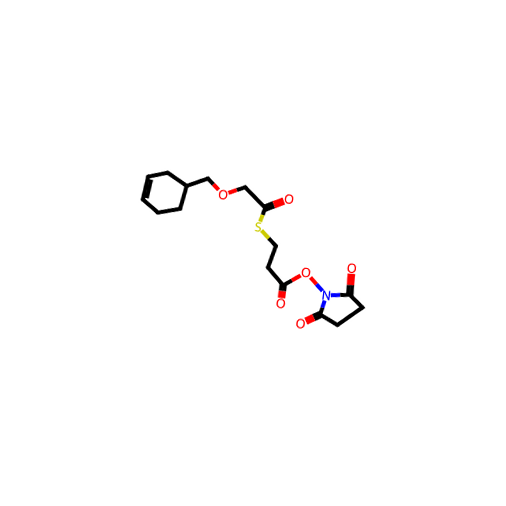 O=C(CCSC(=O)COCC1CC=CCC1)ON1C(=O)CCC1=O